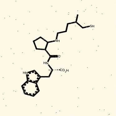 CC(CS)CCCNC1CCCC1C(=O)N[C@@H](Cc1c[nH]c2ccccc12)C(=O)O